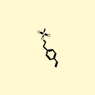 C=Cc1ccc(CCOS(C)(=O)=O)cc1